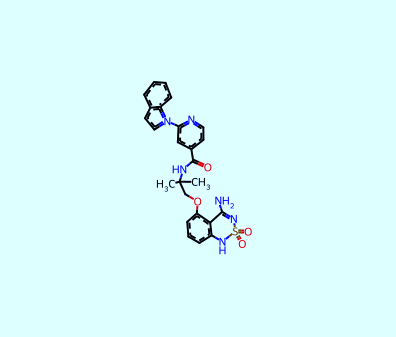 CC(C)(COc1cccc2c1C(N)=NS(=O)(=O)N2)NC(=O)c1ccnc(-n2ccc3ccccc32)c1